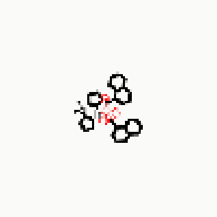 C[Si]1(C)C2=[C](CC=C2)[Ti]([O]C(=O)c2cccc3ccccc23)([O]C(=O)c2cccc3ccccc23)[C]2=C1C=CC2